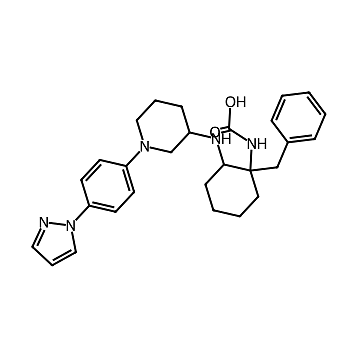 O=C(O)NC1(Cc2ccccc2)CCCCC1NC1CCCN(c2ccc(-n3cccn3)cc2)C1